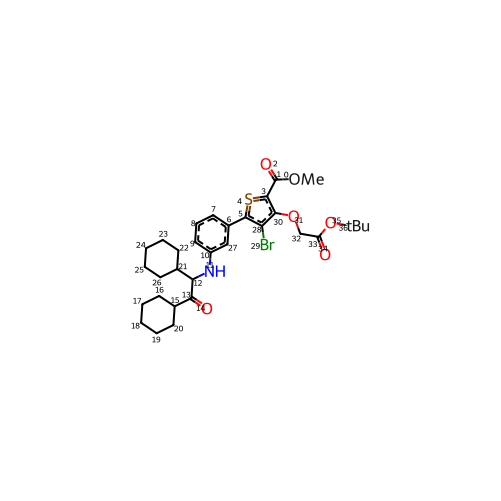 COC(=O)c1sc(-c2cccc(NC(C(=O)C3CCCCC3)C3CCCCC3)c2)c(Br)c1OCC(=O)OC(C)(C)C